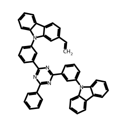 C=Cc1ccc2c3ccccc3n(-c3cccc(-c4nc(-c5ccccc5)nc(-c5cccc(-n6c7ccccc7c7ccccc76)c5)n4)c3)c2c1